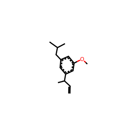 C=C[C](C)c1cc(CC(C)C)cc(OC)c1